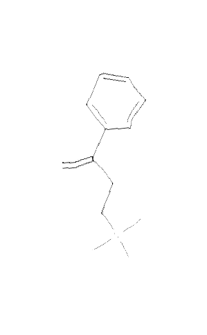 C=C(CC[Si](C)(C)C)c1ccccc1